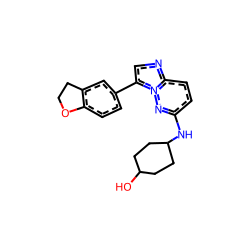 OC1CCC(Nc2ccc3ncc(-c4ccc5c(c4)CCO5)n3n2)CC1